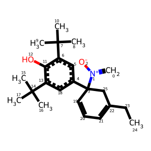 C=[N+]([O-])C1(c2cc(C(C)(C)C)c(O)c(C(C)(C)C)c2)C=CC=C(CC)C1